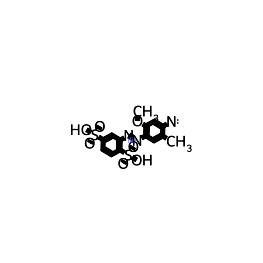 COc1cc([N])c(C)cc1/N=N/c1cc(S(=O)(=O)O)ccc1S(=O)(=O)O